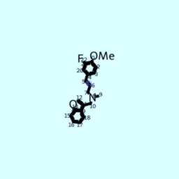 COc1ccc(/C=C/CN(C)Cc2coc3ccccc23)cc1F